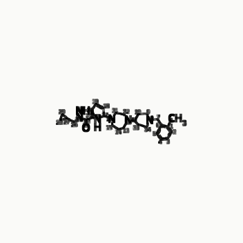 Cc1ccccc1CN1CCC(N2CCCN(C3C=CC=C(C(=O)N(N)CC4CC4)N3)CC2)CC1